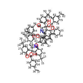 C=Cc1ccc(COc2ccc(C(C)(C)C)cc2C(O)(c2cc(C(C)(C)C)ccc2OCc2ccc(C=C)cc2)[C@@H](C)N=Cc2cc(C)c(C(=C)Cc3ccccc3)c(C=N[C@H](C)C(O)(c3cc(C(C)(C)C)ccc3OCc3ccc(C=C)cc3)c3cc(C(C)(C)C)ccc3OCc3ccc(C=C)cc3)c2O)cc1